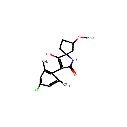 CCCCOC1CCC2(C1)NC(=O)C(c1c(C)cc(Cl)cc1C)=C2O